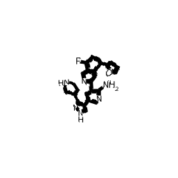 Nc1ncc(-c2c[nH]nc2C2CCNCC2)cc1-c1cc2c(-c3ccco3)ccc(F)c2cn1